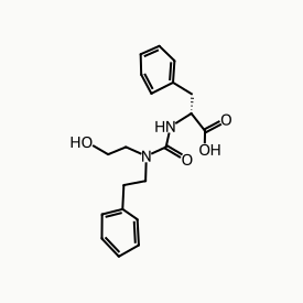 O=C(O)[C@@H](Cc1ccccc1)NC(=O)N(CCO)CCc1ccccc1